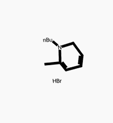 Br.CCCCN1CC=CC=C1C